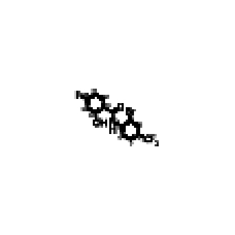 O=C(Nc1ccc(C(F)(F)F)cc1Br)c1ccc(F)cc1O